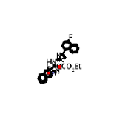 CCOC(=O)N/N=C1\NC2c3ccccc3C1CC2(C)C(=O)Nc1nc(-c2ccc(F)c3ccccc23)cs1